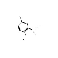 COc1ccc(C)cc1B(O)O